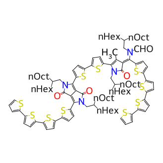 CCCCCCCCC(CCCCCC)CN1C(=O)C2=C(c3ccc(-c4ccc(-c5ccc(-c6cccs6)s5)s4)s3)N(CC(CCCCCC)CCCCCCCC)C(=O)C2=C1c1ccc(-c2ccc(C3=C(C)/C(=C(/c4ccc(-c5ccc(-c6ccc(-c7cccs7)s6)s5)s4)N(C=O)CC(CCCCCC)CCCCCCCC)C(=O)N3CC(CCCCCC)CCCCCCCC)s2)s1